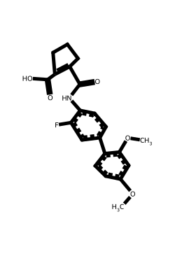 COc1ccc(-c2ccc(NC(=O)C3=C(C(=O)O)CCC3)c(F)c2)c(OC)c1